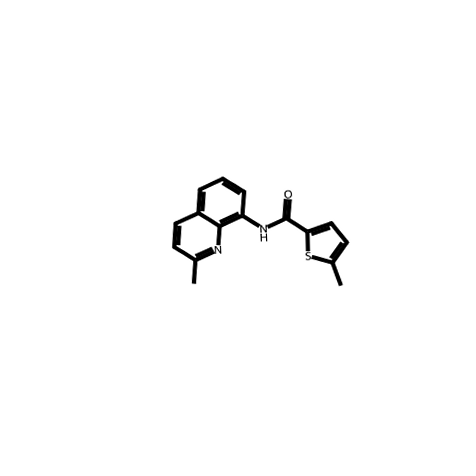 Cc1ccc2cccc(NC(=O)c3ccc(C)s3)c2n1